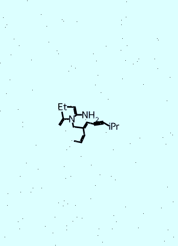 C=C(C)N(CC(/C=C\C)=C/C#CC(C)C)/C(N)=C\CC